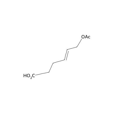 CC(=O)OCC=CCCC(=O)O